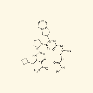 CC(C)NC(=O)OC[C@@H](NC(=O)N[C@H](C(=O)N1CCC[C@H]1C(=O)NC(CC1CCC1)C(=O)C(N)=O)C1Cc2ccccc2C1)C(C)C